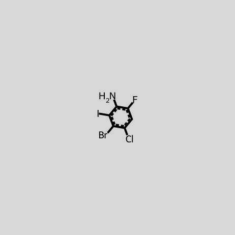 Nc1c(F)cc(Cl)c(Br)c1I